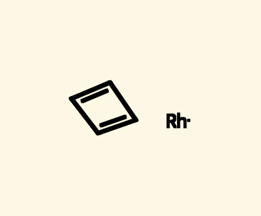 C1=CC=C1.[Rh]